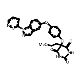 COCCC1(Oc2ccc(Oc3ccc4c(cnn4-c4cccnn4)c3)cc2)C(=O)NC(=O)NC1=O